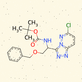 CC(C)(C)OC(=O)NC(COCc1ccccc1)c1nnc2ccc(Cl)nn12